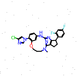 CN1CCCOc2cc(ccc2-n2cnc(Cl)c2)Nc2nc3c(c1n2)CCC3c1ccc(F)cc1F